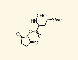 CSCCC(NC=O)C(=O)ON1C(=O)CCC1=O